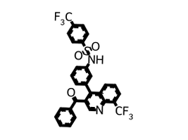 O=C(c1ccccc1)c1cnc2c(C(F)(F)F)cccc2c1-c1cccc(NS(=O)(=O)c2ccc(C(F)(F)F)cc2)c1